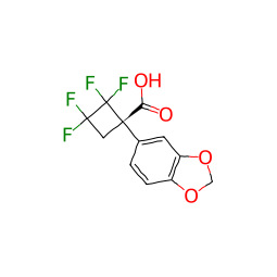 O=C(O)[C@@]1(c2ccc3c(c2)OCO3)CC(F)(F)C1(F)F